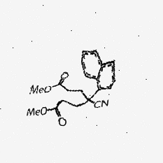 COC(=O)CCC(C#N)(CCC(=O)OC)c1cccc2ccccc12